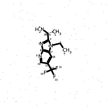 CCn1c([C@@H](C)N)nc2ncc(C(F)(F)F)cc21